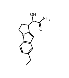 CCc1ccc2c(c1)cc1n2CCC1N(O)C(N)=O